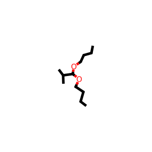 CCCCOC(OCCCC)C(C)C